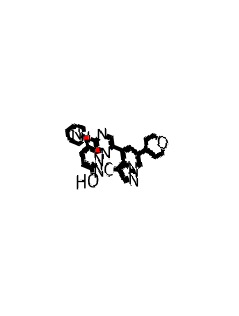 N#Cc1cnn2cc(C3=CCOCC3)cc(-c3cnc(N4CC5CC(C4)N5Cc4ccc(O)nc4)cn3)c12